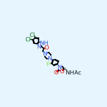 CC(=O)NC[C@H]1CN(c2ccc(N3CCN(CC(=O)c4nc5cc(Cl)c(Cl)cc5[nH]4)CC3)c(F)c2)C(=O)O1